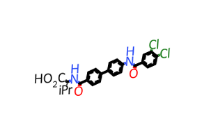 CC(C)[C@@H](NC(=O)c1ccc(-c2ccc(NC(=O)c3ccc(Cl)c(Cl)c3)cc2)cc1)C(=O)O